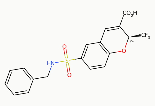 O=C(O)C1=Cc2cc(S(=O)(=O)NCc3ccccc3)ccc2O[C@@H]1C(F)(F)F